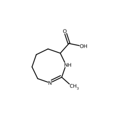 C/C1=N/CCCCC(C(=O)O)N1